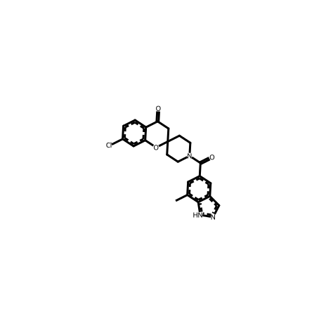 Cc1cc(C(=O)N2CCC3(CC2)CC(=O)c2ccc(Cl)cc2O3)cc2cn[nH]c12